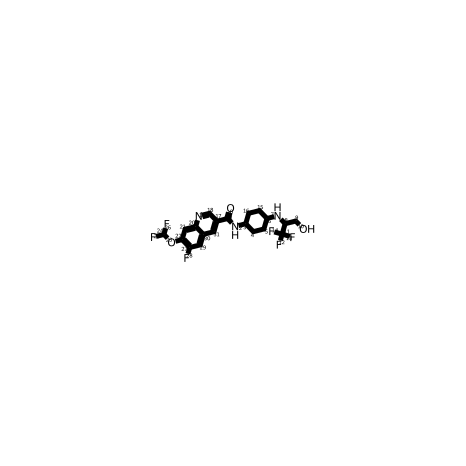 O=C(NC1CCC(NC(CO)C(F)(F)F)CC1)c1cnc2cc(OC(F)F)c(F)cc2c1